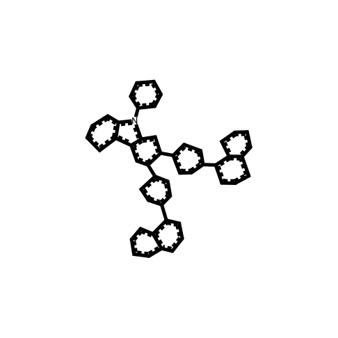 c1ccc(-n2c3ccccc3c3cc(-c4ccc(-c5cccc6ccccc56)cc4)c(-c4ccc(-c5cccc6ccccc56)cc4)cc32)cc1